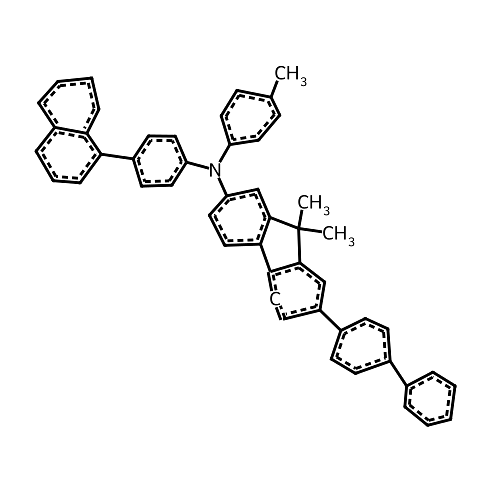 Cc1ccc(N(c2ccc(-c3cccc4ccccc34)cc2)c2ccc3c(c2)C(C)(C)c2cc(-c4ccc(-c5ccccc5)cc4)ccc2-3)cc1